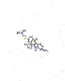 CC(C)N(CCSc1ccc2c(c1)C(C)(C)c1[nH]c3cc(N)ccc3c1C2=O)C(C)C